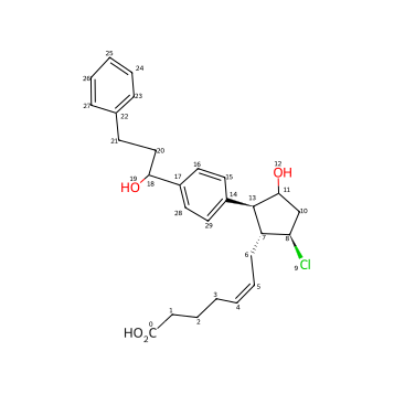 O=C(O)CCC/C=C\C[C@H]1[C@H](Cl)CC(O)[C@@H]1c1ccc(C(O)CCc2ccccc2)cc1